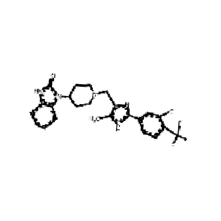 Cc1[nH]c(-c2ccc(C(F)(F)F)c(Cl)c2)nc1CN1CCC(n2c(=O)[nH]c3ccccc32)CC1